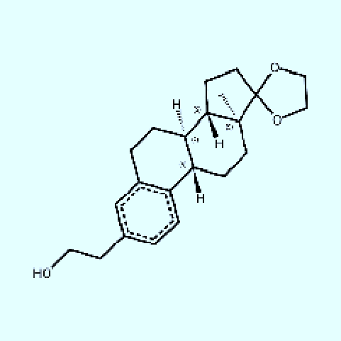 C[C@]12CC[C@@H]3c4ccc(CCO)cc4CC[C@H]3[C@@H]1CCC21OCCO1